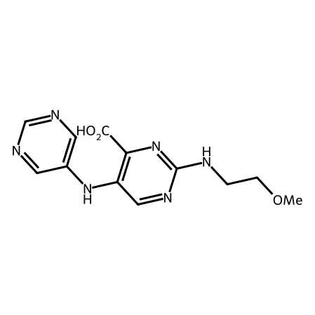 COCCNc1ncc(Nc2cncnc2)c(C(=O)O)n1